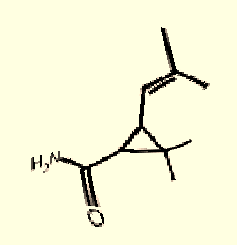 CC(C)=CC1C(C(N)=O)C1(C)C